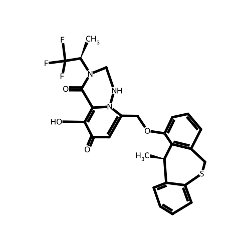 C[C@@H]1c2ccccc2SCc2cccc(OCc3cc(=O)c(O)c4n3NCN([C@H](C)C(F)(F)F)C4=O)c21